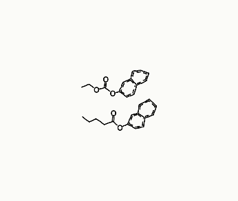 CCCCC(=O)Oc1ccc2ccccc2c1.CCOC(=O)Oc1ccc2ccccc2c1